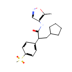 CC(C)c1oncc1NC(=O)C(CC1CCCC1)c1ccc(S(C)(=O)=O)cc1